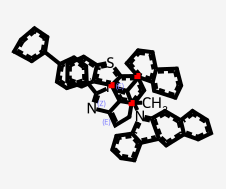 CC1C/C=C(c2c(-n3c4ccccc4c4cc5ccccc5cc43)ccc3sc4ccccc4c23)/N=C(c2ccc(-c3ccccc3)cc2)\N=C/1c1cccc2ccccc12